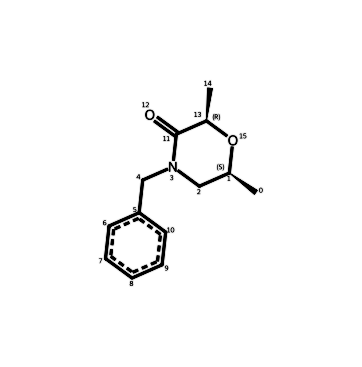 C[C@H]1CN(Cc2ccccc2)C(=O)[C@@H](C)O1